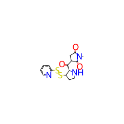 O=C1CC(C(=O)[C@H]2NCCC2SSc2ccccn2)C(=O)[N]1